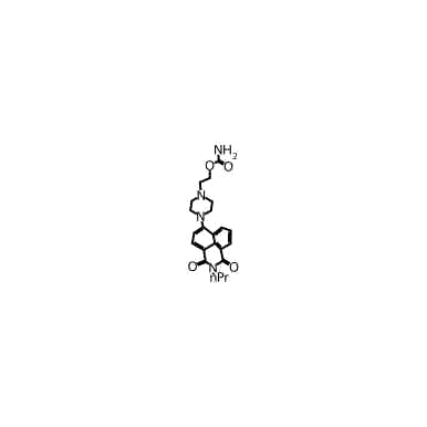 CCCN1C(=O)c2cccc3c(N4CCN(CCOC(N)=O)CC4)ccc(c23)C1=O